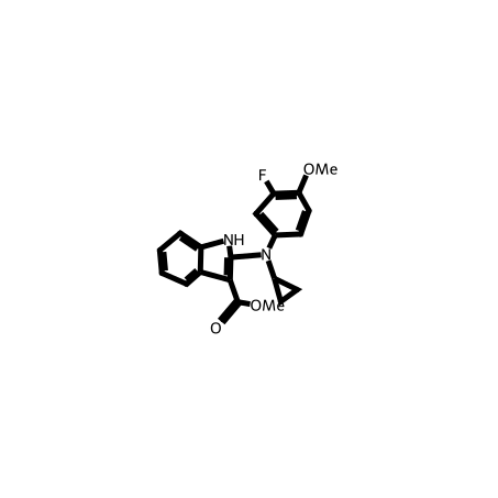 COC(=O)c1c(N(c2ccc(OC)c(F)c2)C2CC2)[nH]c2ccccc12